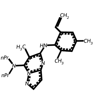 C=Cc1cc(C)cc(C)c1Nc1nc2ccnn2c(N(CCC)CCC)c1C